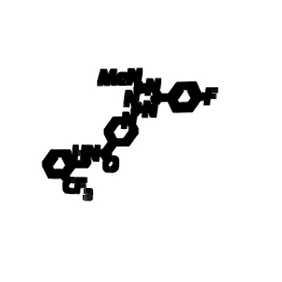 CNc1nc(-c2ccc(F)cc2)nc(N2CCC(C(=O)NCc3ccccc3C(F)(F)F)CC2)n1